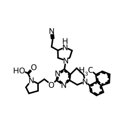 Cc1cccc2cccc(N3CCc4c(nc(OCC5CCCN5C(=O)O)nc4N4CCNC(CC#N)C4)C3)c12